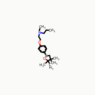 CCCN(CC)CCOc1ccc(B2CC(C)(C)C(C)(C)O2)cc1